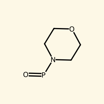 O=PN1CCOCC1